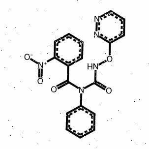 O=C(NOc1cccnn1)N(C(=O)c1ccccc1[N+](=O)[O-])c1ccccc1